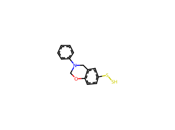 SSc1ccc2c(c1)CN(c1ccccc1)CO2